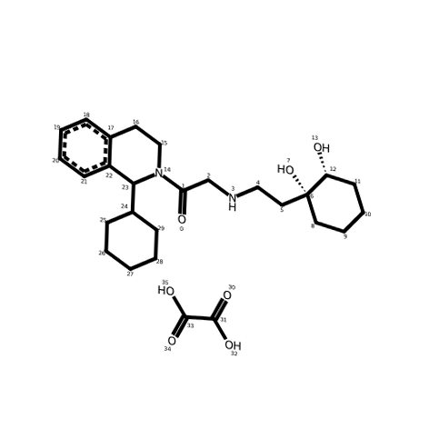 O=C(CNCC[C@]1(O)CCCC[C@H]1O)N1CCc2ccccc2C1C1CCCCC1.O=C(O)C(=O)O